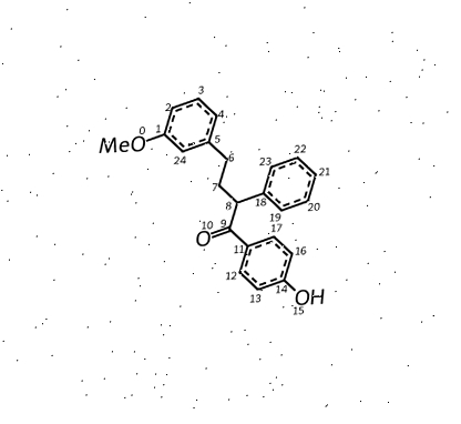 COc1cccc(CCC(C(=O)c2ccc(O)cc2)c2ccccc2)c1